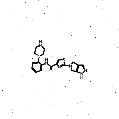 O=C(Nc1ccccc1N1CCNCC1)c1csc(N2Cc3cn[nH]c3C2)n1